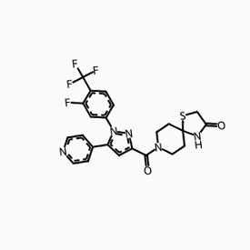 O=C1CSC2(CCN(C(=O)c3cc(-c4ccncc4)n(-c4ccc(C(F)(F)F)c(F)c4)n3)CC2)N1